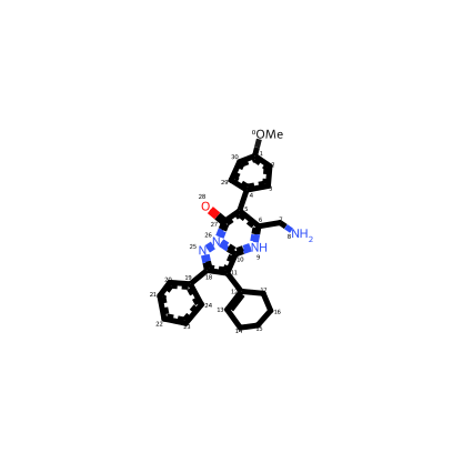 COc1ccc(-c2c(CN)[nH]c3c(C4=CCCCC4)c(-c4ccccc4)nn3c2=O)cc1